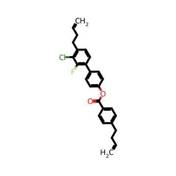 C=CCCc1ccc(C(=O)Oc2ccc(-c3ccc(CCC=C)c(Cl)c3F)cc2)cc1